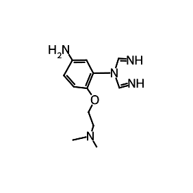 CN(C)CCOc1ccc(N)cc1N(C=N)C=N